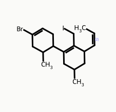 C/C=C\C1CC(C)CC(C2CC=C(Br)CC2C)=C1CI